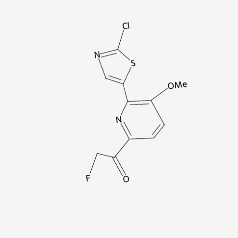 COc1ccc(C(=O)CF)nc1-c1cnc(Cl)s1